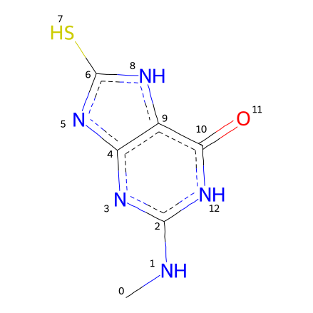 CNc1nc2nc(S)[nH]c2c(=O)[nH]1